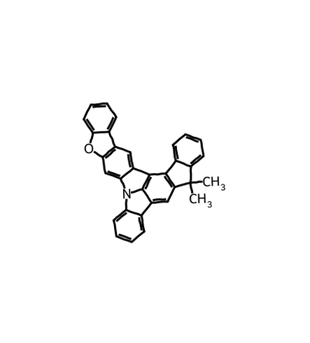 CC1(C)c2ccccc2-c2c1cc1c3ccccc3n3c4cc5oc6ccccc6c5cc4c2c13